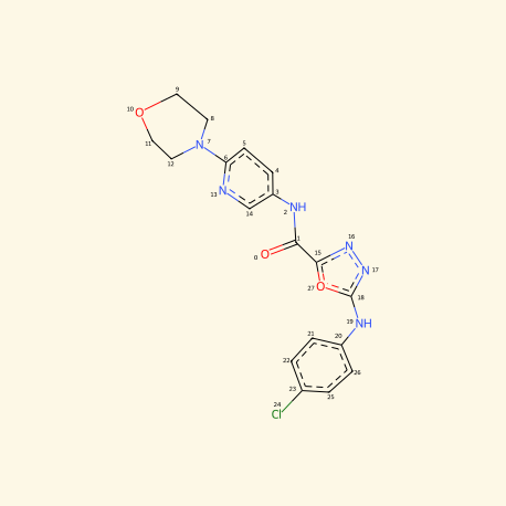 O=C(Nc1ccc(N2CCOCC2)nc1)c1nnc(Nc2ccc(Cl)cc2)o1